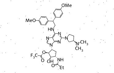 CCC(=O)N[C@H]1C[C@@H](n2cnc3c(NCC(c4ccc(OC)cc4)c4ccc(OC)cc4)nc(N4CC[C@@H](N(C)C)C4)nc32)[C@H](OC(=O)C(F)(F)F)[C@@H]1O